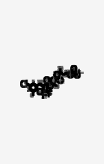 Cc1cc(Cl)cc2c1O[C@H](C(F)(F)F)C(C(=O)OC(C)OC(=O)OC(C)CCO[N+](=O)[O-])=C2